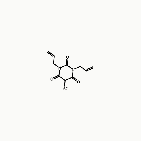 C=CCN1C(=O)C(C(C)=O)C(=O)N(CC=C)C1=O